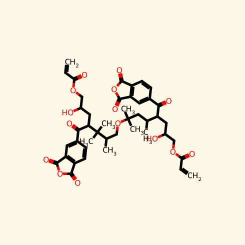 C=CC(=O)OCC(O)CC(C(=O)c1ccc2c(c1)C(=O)OC2=O)C(C)CC(C)(C)OCC(C)C(C)(C)C(CC(O)COC(=O)C=C)C(=O)c1ccc2c(c1)C(=O)OC2=O